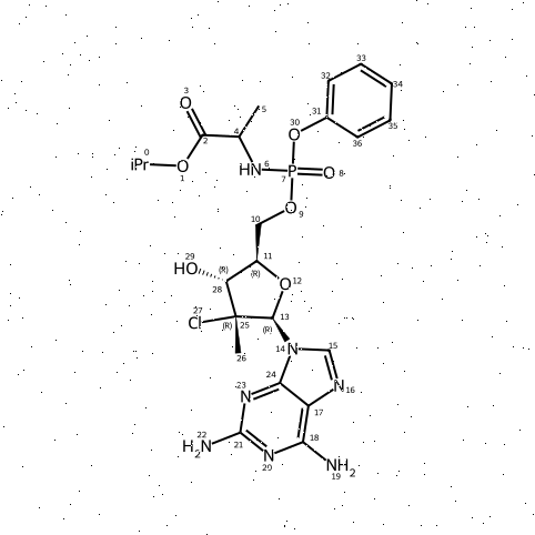 CC(C)OC(=O)C(C)NP(=O)(OC[C@H]1O[C@@H](n2cnc3c(N)nc(N)nc32)[C@](C)(Cl)[C@@H]1O)Oc1ccccc1